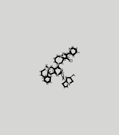 C[C@H]1CN2CCC[C@@]2(COc2nc3c(c(N4CCCn5nc(-c6ccccn6)c(Cl)c5C4)n2)CN(C)[C@@]2(CCCc4ccccc42)C3)C1